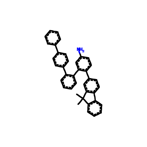 CC1(C)c2ccccc2-c2ccc(-c3ccc(N)cc3-c3ccccc3-c3ccc(-c4ccccc4)cc3)cc21